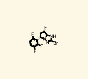 Fc1ccc(F)c([C@@H]2C[C@H](F)C3NC(Br)=NN32)c1F